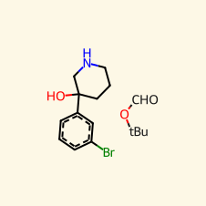 CC(C)(C)OC=O.OC1(c2cccc(Br)c2)CCCNC1